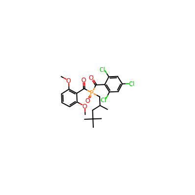 COc1cccc(OC)c1C(=O)P(=O)(CC(C)CC(C)(C)C)C(=O)c1c(Cl)cc(Cl)cc1Cl